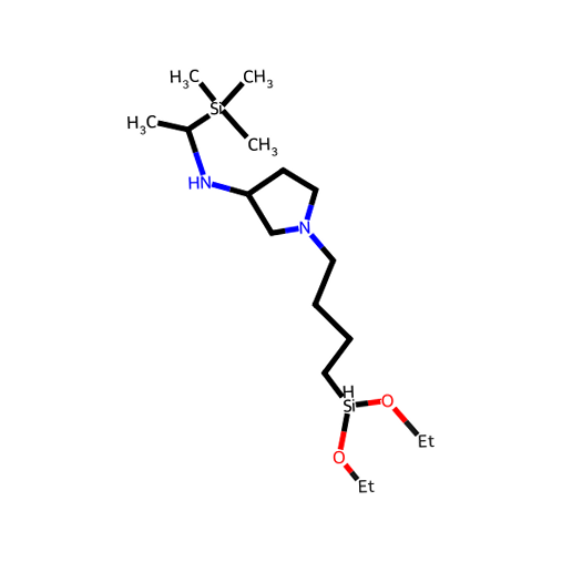 CCO[SiH](CCCCN1CCC(NC(C)[Si](C)(C)C)C1)OCC